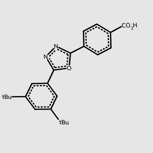 CC(C)(C)c1cc(-c2nnc(-c3ccc(C(=O)O)cc3)o2)cc(C(C)(C)C)c1